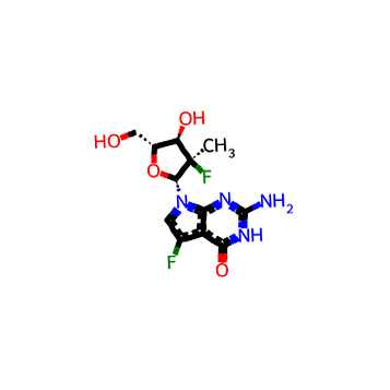 C[C@@]1(F)[C@H](O)[C@@H](CO)O[C@H]1n1cc(F)c2c(=O)[nH]c(N)nc21